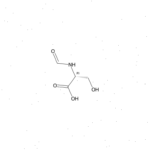 O=CN[C@H](CO)C(=O)O